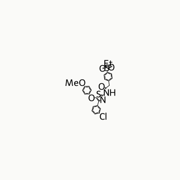 CCS(=O)(=O)c1ccc(CC(=O)Nc2nc(-c3cccc(Cl)c3)c(Oc3ccc(OC)cc3)s2)cc1